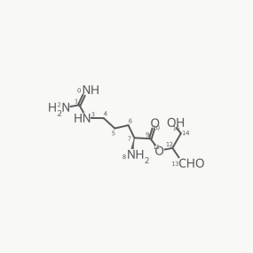 N=C(N)NCCC[C@H](N)C(=O)OC(C=O)CO